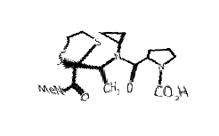 CNC(=O)C1(C(C)N(C(=O)C2CCCN2C(=O)O)C2CC2)SCCS1